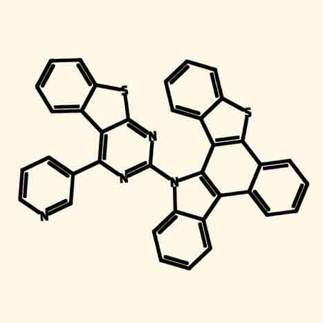 c1cncc(-c2nc(-n3c4ccccc4c4c5ccccc5c5sc6ccccc6c5c43)nc3sc4ccccc4c23)c1